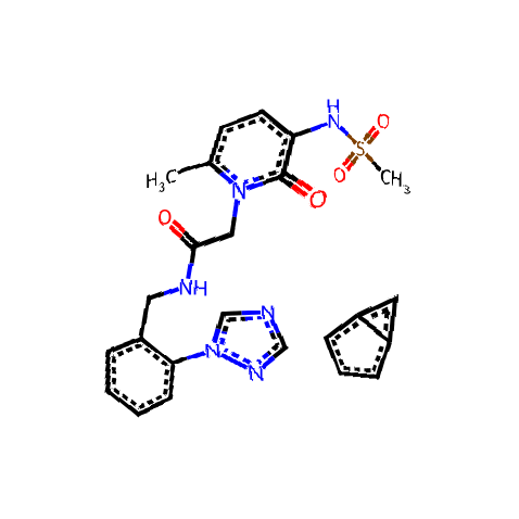 Cc1ccc(NS(C)(=O)=O)c(=O)n1CC(=O)NCc1ccccc1-n1cncn1.c1cc2cc-2c1